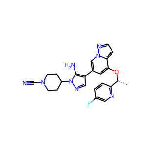 C[C@@H](Oc1cc(-c2cnn(C3CCN(C#N)CC3)c2N)cn2nccc12)c1ccc(F)cn1